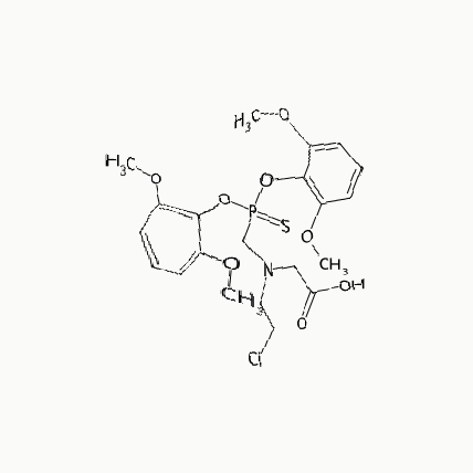 COc1cccc(OC)c1OP(=S)(CN(CCCl)CC(=O)O)Oc1c(OC)cccc1OC